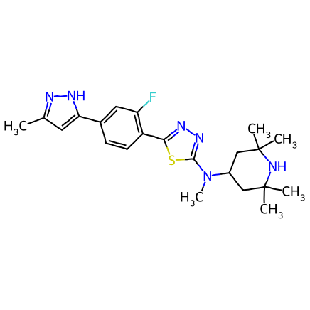 Cc1cc(-c2ccc(-c3nnc(N(C)C4CC(C)(C)NC(C)(C)C4)s3)c(F)c2)[nH]n1